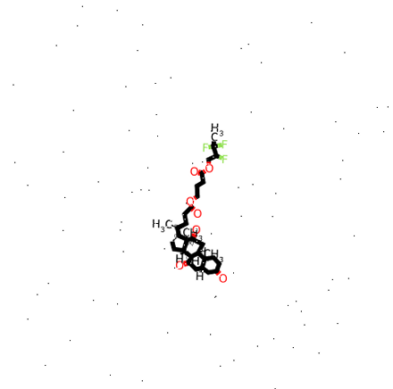 C[C@H](CCC(=O)OCCCC(=O)OCC(F)C(C)(F)F)[C@H]1CC[C@H]2[C@@H]3C(=O)C[C@@H]4CC(=O)CC[C@]4(C)[C@H]3CC(=O)[C@]12C